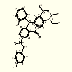 CCN(CC)c1ccc(C(c2ccccc2C)c2ccc(N(C)Cc3ccc(C)cc3)cc2C(=O)O)cc1C(C)C